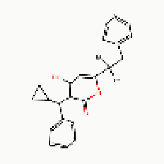 CCC(CC)(Cc1ccccc1)c1cc(O)c(C(c2ccccc2)C2CC2)c(=O)o1